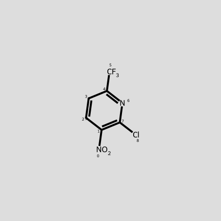 O=[N+]([O-])c1[c]cc(C(F)(F)F)nc1Cl